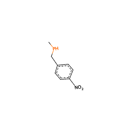 CPCc1ccc([N+](=O)[O-])cc1